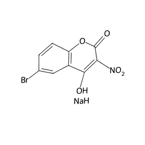 O=c1oc2ccc(Br)cc2c(O)c1[N+](=O)[O-].[NaH]